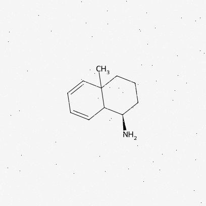 CC12C=CC=CC1[C@H](N)CCC2